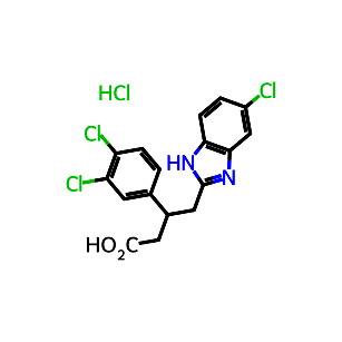 Cl.O=C(O)CC(Cc1nc2cc(Cl)ccc2[nH]1)c1ccc(Cl)c(Cl)c1